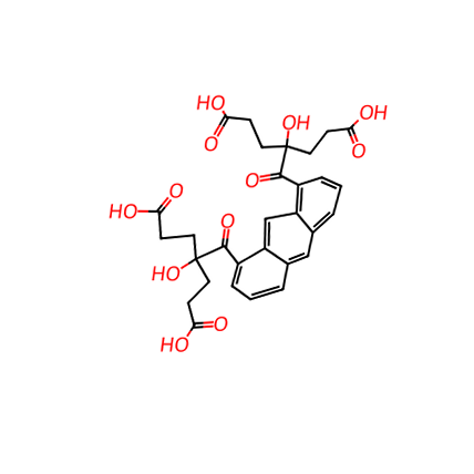 O=C(O)CCC(O)(CCC(=O)O)C(=O)c1cccc2cc3cccc(C(=O)C(O)(CCC(=O)O)CCC(=O)O)c3cc12